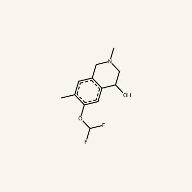 Cc1cc2c(cc1OC(F)F)C(O)CN(C)C2